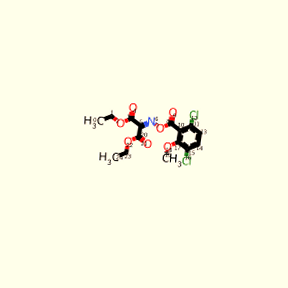 CCOC(=O)C(=NOC(=O)c1c(Cl)ccc(Cl)c1OC)C(=O)OCC